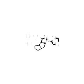 CC1CCC2Cc3c(c(C(=O)O)nn3-c3cnccn3)C12